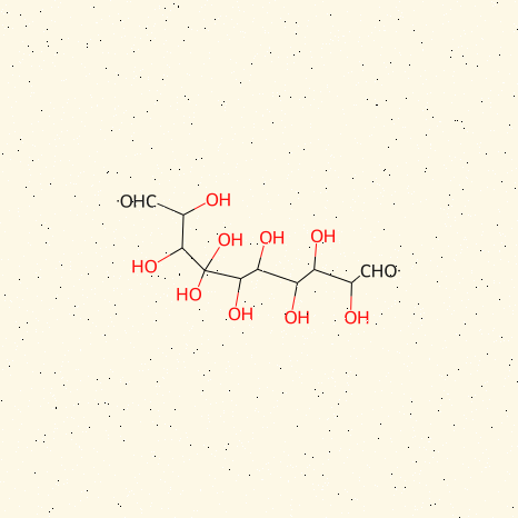 O=[C]C(O)C(O)C(O)C(O)C(O)C(O)(O)C(O)C(O)[C]=O